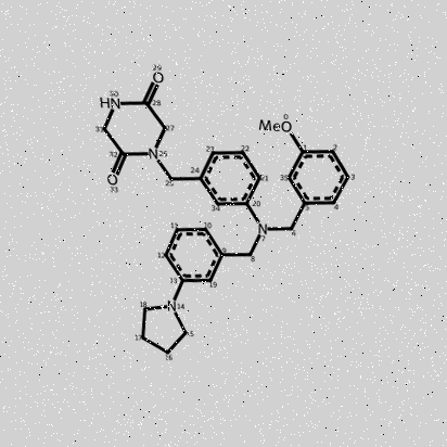 COc1cccc(CN(Cc2cccc(N3CCCC3)c2)c2cccc(CN3CC(=O)NCC3=O)c2)c1